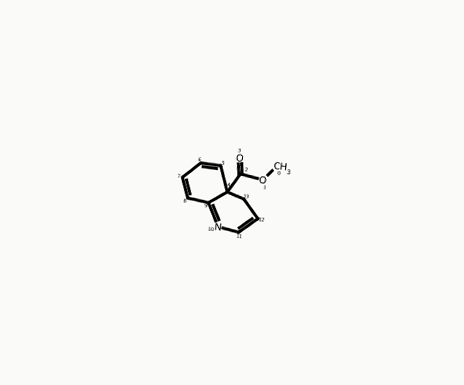 COC(=O)C12C=CC=CC1=NC=CC2